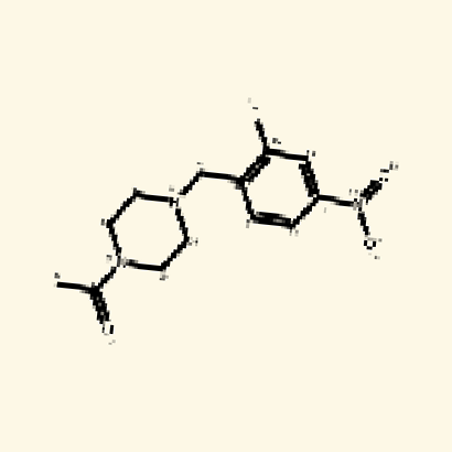 CC(=O)N1CCN(Cc2ccc([N+](=O)[O-])cc2F)CC1